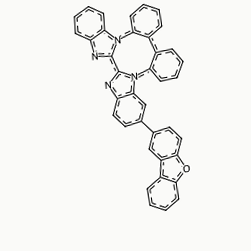 c1ccc2c(c1)nc1c3nc4ccc(-c5ccc6oc7ccccc7c6c5)cc4n3c3ccccc3c3ccccc3n21